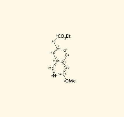 CCOC(=O)Cc1ccc2cc(OC)ncc2c1